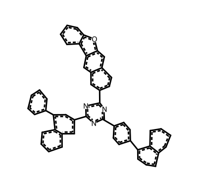 c1ccc(-c2cc(-c3nc(-c4ccc(-c5cccc6ccccc56)cc4)nc(-c4ccc5cc6oc7ccccc7c6cc5c4)n3)cc3ccccc23)cc1